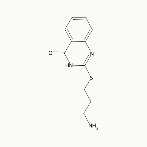 NCCCSc1nc2ccccc2c(=O)[nH]1